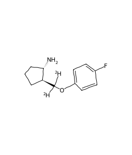 [2H]C([2H])(Oc1ccc(F)cc1)[C@H]1CCC[C@@H]1N